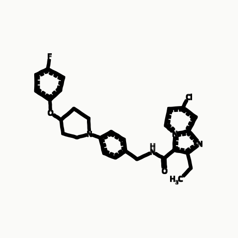 CCc1nc2cc(Cl)ccn2c1C(=O)NCc1ccc(N2CCC(Oc3ccc(F)cc3)CC2)cc1